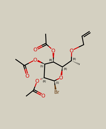 C=CCO[C@H](C)[C@H]1O[C@@H](Br)[C@H](OC(C)=O)[C@@H](OC(C)=O)[C@H]1OC(C)=O